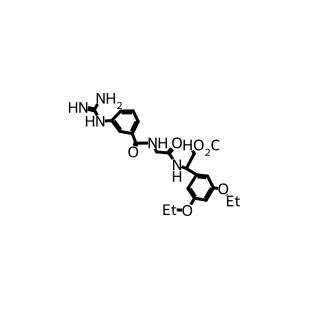 CCOc1cc(OCC)cc(C(CC(=O)O)NC(=O)CNC(=O)c2cccc(NC(=N)N)c2)c1